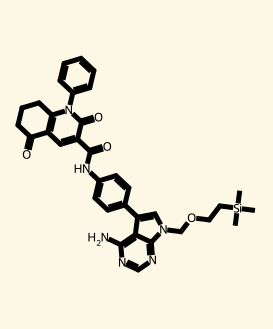 C[Si](C)(C)CCOCn1cc(-c2ccc(NC(=O)c3cc4c(n(-c5ccccc5)c3=O)CCCC4=O)cc2)c2c(N)ncnc21